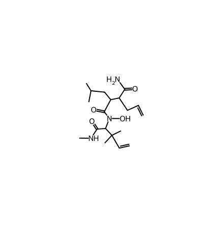 C=CCC(C(N)=O)C(CC(C)C)C(=O)N(O)C(C(=O)NC)C(C)(C)C=C